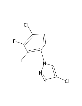 Fc1c(Cl)ccc(-n2cc(Cl)nn2)c1I